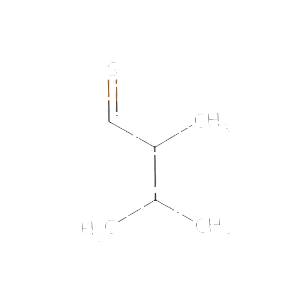 [CH2]C(C)C(C)[C]=S